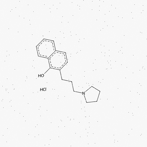 Cl.Oc1c(CCCN2CCCC2)ccc2ccccc12